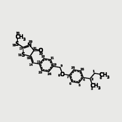 CCC(C)c1ccc(OCc2ccc(C=C3SC(SC)=NC3=O)cc2)cc1